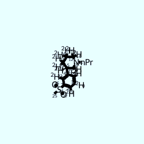 [2H]c1c([2H])c([C@@]2([2H])C([2H])([2H])N(CCC)C([2H])([2H])C([2H])([2H])C2([2H])[2H])c([2H])c(S(C)(=O)=O)c1[2H]